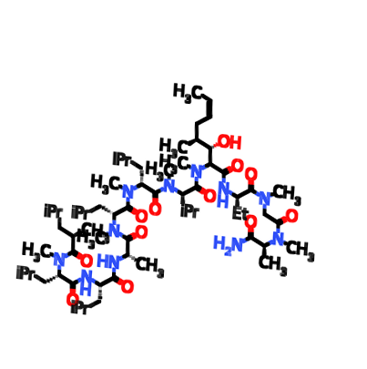 C/C=C\C[C@H](C)[C@H](O)C(C(=O)N[C@H](CC)C(=O)N(C)CC(=O)N(C)[C@@H](C)C(N)=O)N(C)C(=O)[C@@H](C(C)C)N(C)C(=O)[C@@H](CC(C)C)N(C)C(=O)[C@@H](CC(C)C)N(C)C(=O)[C@H](C)NC(=O)[C@H](CC(C)C)NC(=O)[C@H](CC(C)C)N(C)C(=O)[C@H](C)CC(C)C